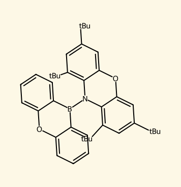 CC(C)(C)c1cc2c(c(C(C)(C)C)c1)N(B1c3ccccc3Oc3ccccc31)c1c(cc(C(C)(C)C)cc1C(C)(C)C)O2